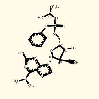 C#C[C@@]1(F)[C@H](O)[C@@H](COP(=S)(N[C@@H](C)C(=O)OCC)Oc2ccccc2)O[C@H]1n1cnc2c(N(C)C)nc(N)nc21